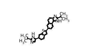 CC(C)c1ncc(-c2ccc3cc(-c4ccc5c(ccc6nc(C(C)C)[nH]c65)c4)sc3c2)[nH]1